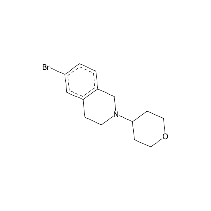 Brc1ccc2c(c1)CCN(C1CCOCC1)C2